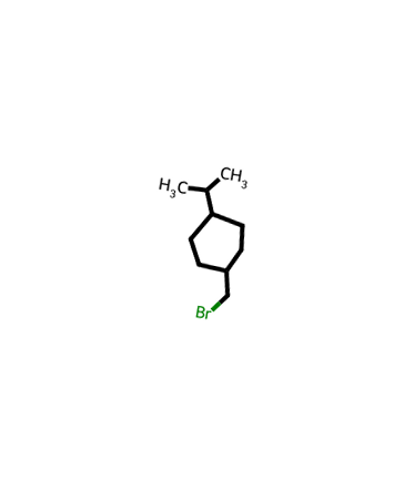 CC(C)C1CCC(CBr)CC1